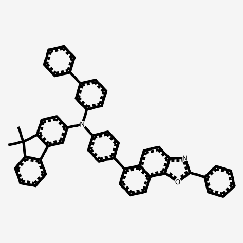 CC1(C)c2ccccc2-c2cc(N(c3ccc(-c4cccc5c4ccc4nc(-c6ccccc6)oc45)cc3)c3cccc(-c4ccccc4)c3)ccc21